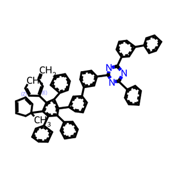 C=C/C=C(\C=C/C)c1c(-c2ccccc2)c(-c2cccc(-c3cccc(-c4nc(-c5ccccc5)nc(-c5cccc(-c6ccccc6)c5)n4)c3)c2)c(-c2ccccc2)c(-c2ccccc2)c1C1(C)C=CC=CC1